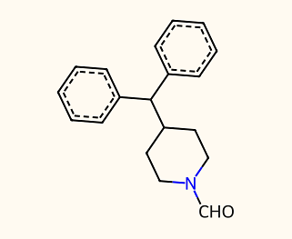 O=CN1CCC(C(c2ccccc2)c2ccccc2)CC1